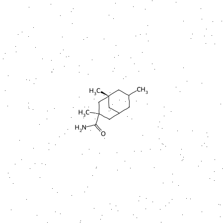 CC1CC2CC(C)(C(N)=O)C[C@](C)(C1)C2